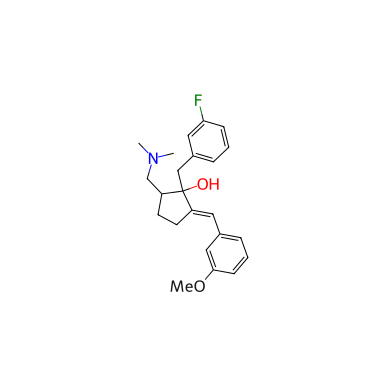 COc1cccc(C=C2CCC(CN(C)C)C2(O)Cc2cccc(F)c2)c1